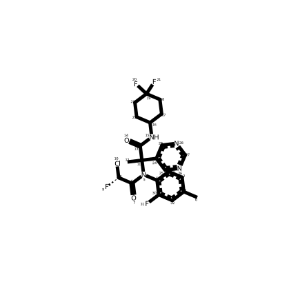 Cc1ccc(N(C(=O)[C@H](F)Cl)C(C)(C(=O)NC2CCC(F)(F)CC2)c2cncnc2)c(F)c1